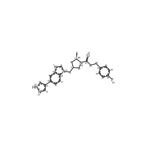 C[C@@H]1CC(Cn2cnc3cc(-c4cn[nH]c4)ccc32)CN1C(=O)CCc1ccc(F)cc1